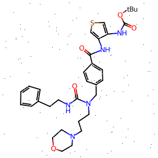 CC(C)(C)OC(=O)Nc1cscc1NC(=O)c1ccc(CN(CCCN2CCOCC2)C(=O)NCCc2ccccc2)cc1